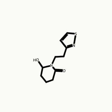 O=C1CCCC(O)N1CCc1ccsn1